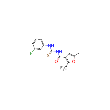 Cc1cc(C(=O)NC(=S)Nc2cccc(F)c2)c(C(F)(F)F)o1